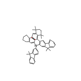 CC1(C)CCC(C)(C)c2c(-c3cc4c(cc3N(c3ccc5c(c3)CCCC5)c3ccc5c(c3)C(C)(C)c3ccccc3-5)C(C)(C)c3ccccc3-4)cccc21